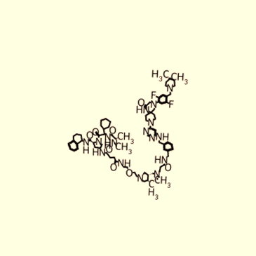 CN[C@@H](C)C(=O)N[C@H](C(=O)N1C[C@@H](NC(=O)CCC(=O)NCCOCCN2C[C@H](CN(C)CCC(=O)NCc3cccc(CNc4cc(N5CCC6(CC5)CN(c5cc(F)c(CN7CCC(C)(C)CC7)cc5F)CC(=O)N6)ncn4)c3)[C@H](C)C2)C[C@H]1C(=O)NC1CCCc2ccccc21)C1CCCCC1